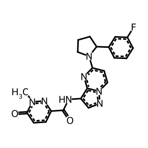 Cn1nc(C(=O)Nc2cnn3ccc(N4CCCC4c4cccc(F)c4)nc23)ccc1=O